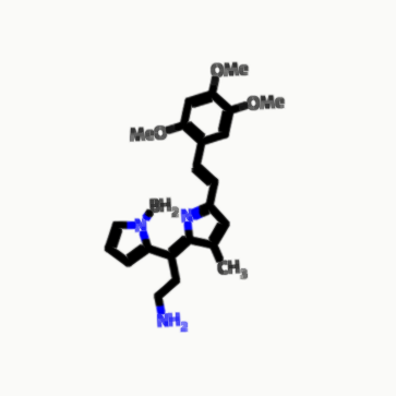 Bn1cccc1/C(CCN)=C1N=C(/C=C/c2cc(OC)c(OC)cc2OC)C=C\1C